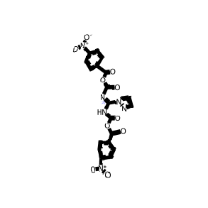 O=C(/N=C(/NC(=O)OC(=O)c1ccc([N+](=O)[O-])cc1)n1cccn1)OC(=O)c1ccc([N+](=O)[O-])cc1